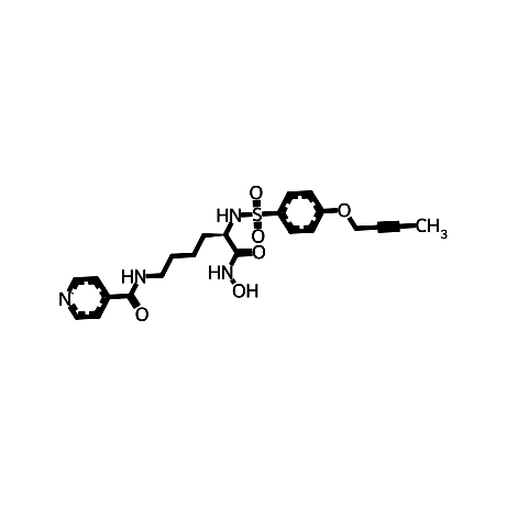 CC#CCOc1ccc(S(=O)(=O)N[C@H](CCCCNC(=O)c2ccncc2)C(=O)NO)cc1